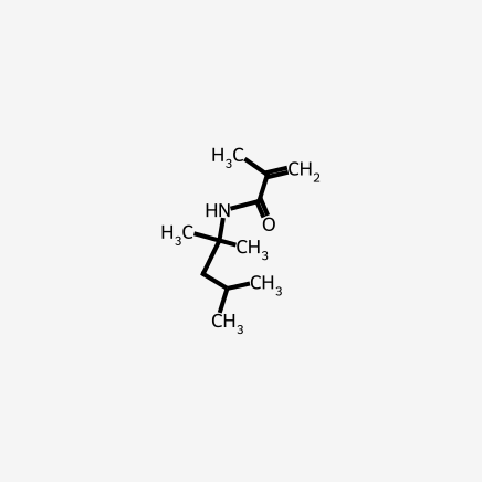 C=C(C)C(=O)NC(C)(C)CC(C)C